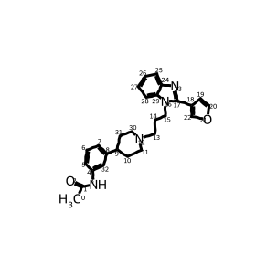 CC(=O)Nc1cccc(C2CCN(CCCn3c(-c4ccoc4)nc4ccccc43)CC2)c1